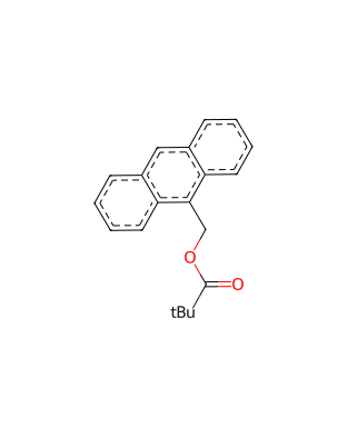 CC(C)(C)C(=O)OCc1c2ccccc2cc2ccccc12